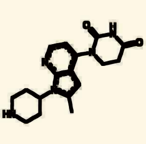 Cc1cc2c(N3CCC(=O)NC3=O)ccnc2n1C1CCNCC1